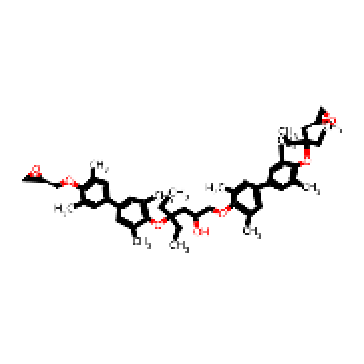 CCC(CC)(CC(O)COc1c(C)cc(-c2cc(C)c(OC(CC)(CC)C[C@H]3CO3)c(C)c2)cc1C)Oc1c(C)cc(-c2cc(C)c(OC[C@H]3CO3)c(C)c2)cc1C